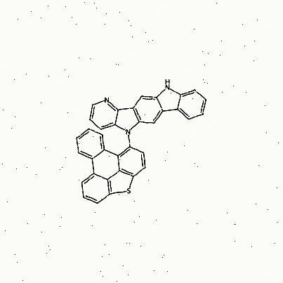 c1ccc2c(c1)[nH]c1cc3c4ncccc4n(-c4ccc5sc6cccc7c8ccccc8c4c5c67)c3cc12